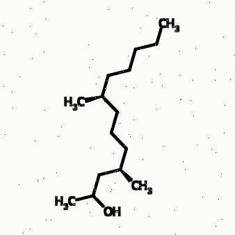 CCCCC[C@H](C)CCC[C@@H](C)CC(C)O